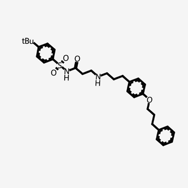 CC(C)(C)c1ccc(S(=O)(=O)NC(=O)CCNCCCc2ccc(OCCCc3ccccc3)cc2)cc1